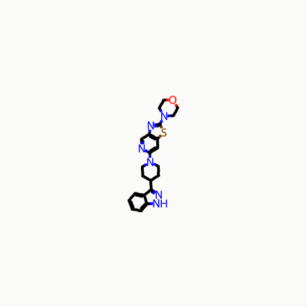 c1ccc2c(C3CCN(c4cc5sc(N6CCOCC6)nc5cn4)CC3)n[nH]c2c1